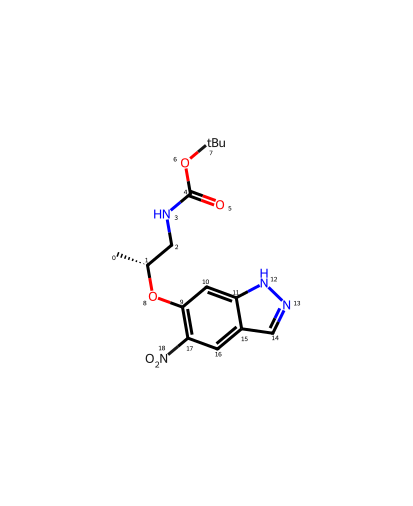 C[C@H](CNC(=O)OC(C)(C)C)Oc1cc2[nH]ncc2cc1[N+](=O)[O-]